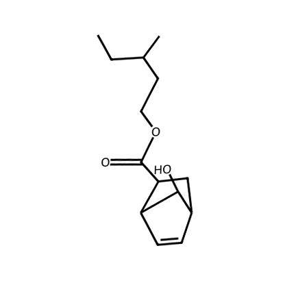 CCC(C)CCOC(=O)C1CC2C=CC1C2O